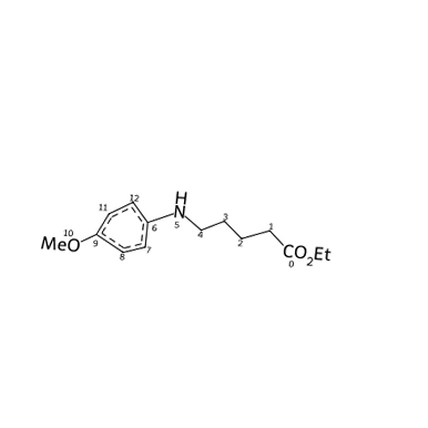 CCOC(=O)CCCCNc1ccc(OC)cc1